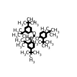 CC(C)(C)c1cc(OP(Oc2ccc(C(C)(C)C)cc2C(C)(C)C)Oc2ccc(C(C)(C)C)cc2C(C)(C)C)cc(C(C)(C)C)c1